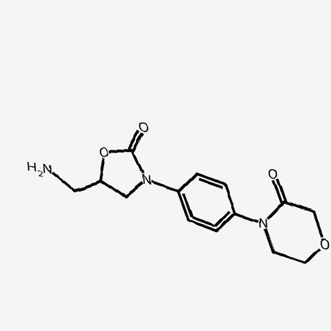 NCC1CN(C2=C=C=C(N3CCOCC3=O)C=C2)C(=O)O1